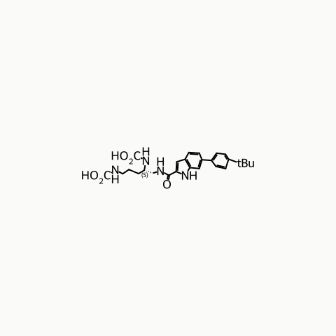 CC(C)(C)c1ccc(-c2ccc3cc(C(=O)NC[C@H](CCCNC(=O)O)NC(=O)O)[nH]c3c2)cc1